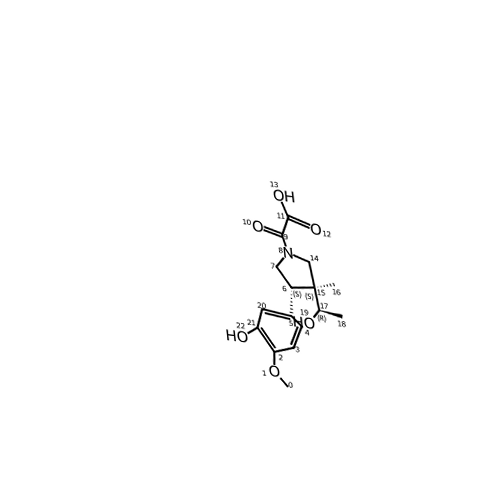 COc1ccc([C@@H]2CN(C(=O)C(=O)O)C[C@@]2(C)[C@@H](C)O)cc1O